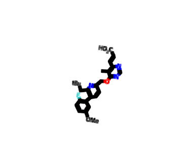 COc1ccc(F)c(-c2ccc(COc3ncnc(C=CC(=O)O)c3C)nc2CC(C)(C)C)c1